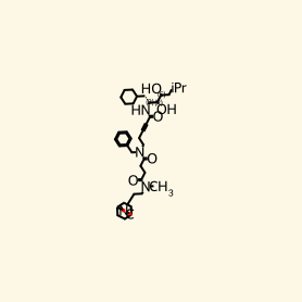 CC(C)C[C@H](O)[C@H](O)[C@@H](CC1CCCCC1)NC(=O)C#CCCN(Cc1ccccc1)C(=O)CCC(=O)N(C)CCN1CC2CCC(CC2)C1